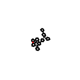 c1ccc(-c2ccc(N(c3ccccc3)c3ccc(-c4ccc5c(c4)C(c4ccccc4)(c4ccccc4)c4ccccc4N5c4ccccc4)cc3)cc2)cc1